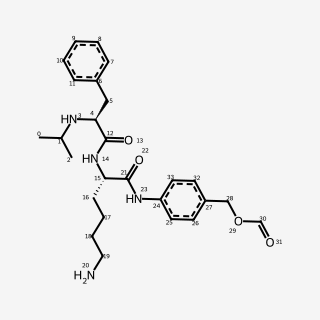 CC(C)N[C@@H](Cc1ccccc1)C(=O)N[C@@H](CCCCN)C(=O)Nc1ccc(COC=O)cc1